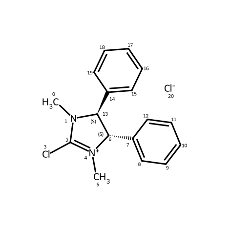 CN1C(Cl)=[N+](C)[C@@H](c2ccccc2)[C@@H]1c1ccccc1.[Cl-]